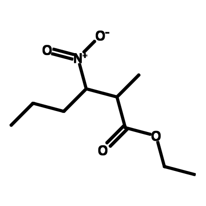 CCCC(C(C)C(=O)OCC)[N+](=O)[O-]